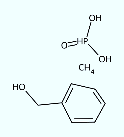 C.O=[PH](O)O.OCc1ccccc1